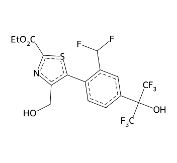 CCOC(=O)c1nc(CO)c(-c2ccc(C(O)(C(F)(F)F)C(F)(F)F)cc2C(F)F)s1